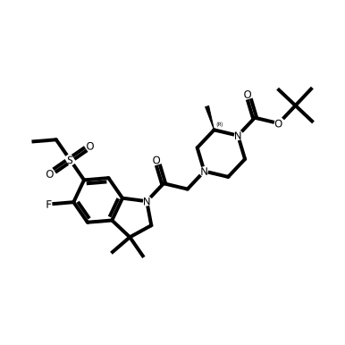 CCS(=O)(=O)c1cc2c(cc1F)C(C)(C)CN2C(=O)CN1CCN(C(=O)OC(C)(C)C)[C@H](C)C1